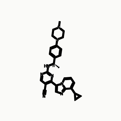 C[C@H](Nc1ncc(C#N)c(-c2cnc3c(C4CC4)cccn23)n1)c1ccc(N2CCN(C)CC2)cc1